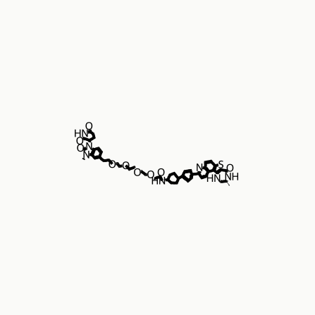 C[C@@H]1CNc2c(sc3ccc4nc(-c5ccc(C6CCC(NC(=O)COCCOCCOCCOCCc7ccc8c(c7)n(C)c(=O)n8C7CCC(=O)NC7=O)CC6)cc5)ccc4c23)C(=O)N1